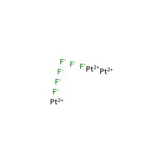 [F-].[F-].[F-].[F-].[F-].[F-].[Pt+2].[Pt+2].[Pt+2]